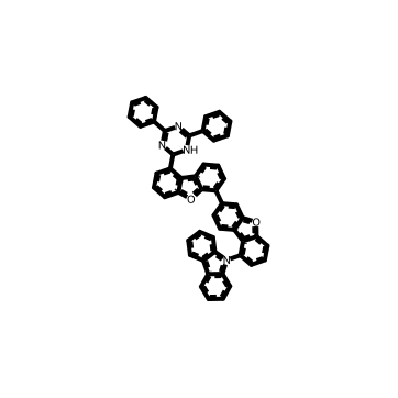 c1ccc(C2=NC(c3cccc4oc5c(-c6ccc7c(c6)oc6cccc(-n8c9ccccc9c9ccccc98)c67)cccc5c34)NC(c3ccccc3)=N2)cc1